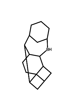 B1C2CCCC(C2)C2C3CCC45C(CC4C13)CC25